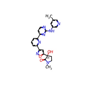 Cc1cncc(Nc2nccc(-c3cccc(-c4cc([C@]5(O)CCN(C)C5=O)on4)n3)n2)c1